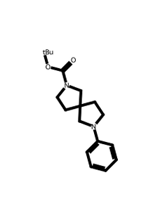 CC(C)(C)OC(=O)N1CCC2(CCN(c3ccccc3)C2)C1